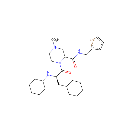 O=C(NCc1cccs1)C1CN(C(=O)O)CCN1C(=O)[C@@H](CC1CCCCC1)NC1CCCCC1